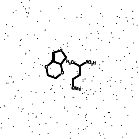 C1=C2OCCOC2CS1.COCCC(C)S(=O)(=O)O